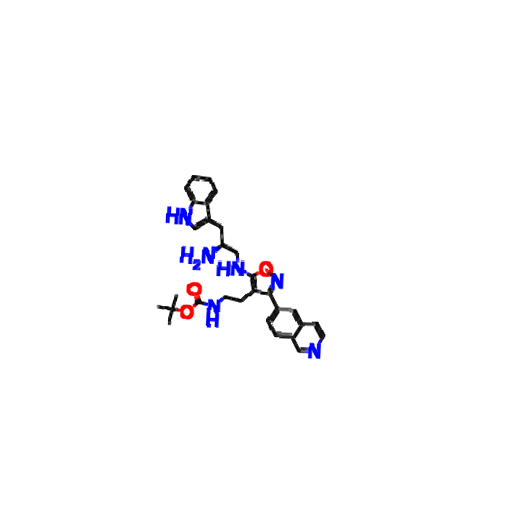 CC(C)(C)OC(=O)NCCc1c(-c2ccc3cnccc3c2)noc1NC[C@@H](N)Cc1c[nH]c2ccccc12